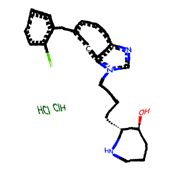 Cl.Cl.O[C@H]1CCCN[C@@H]1CCCn1cnc2ccc(-c3ccccc3F)cc21